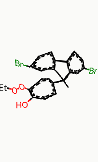 CCOOc1cc(C2(C)c3cc(Br)ccc3-c3ccc(Br)cc32)ccc1O